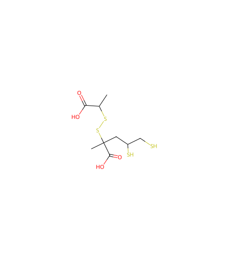 CC(SSC(C)(CC(S)CS)C(=O)O)C(=O)O